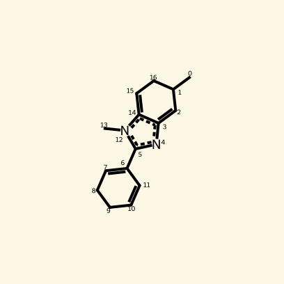 CC1C=c2nc(C3=CCCC=C3)n(C)c2=CC1